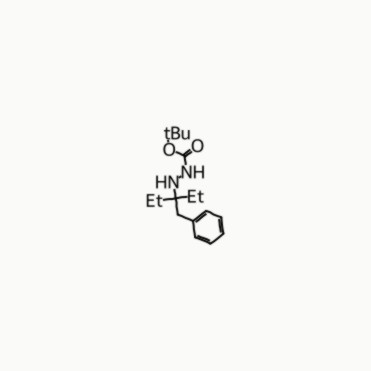 CCC(CC)(Cc1ccccc1)NNC(=O)OC(C)(C)C